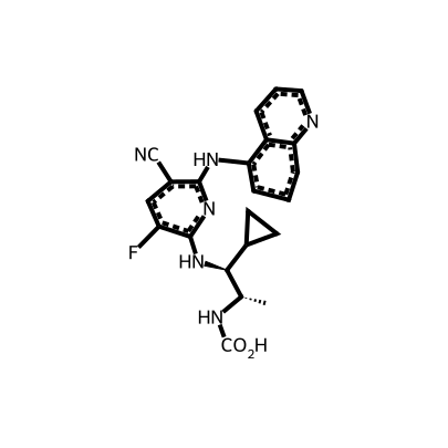 C[C@H](NC(=O)O)[C@@H](Nc1nc(Nc2cccc3ncccc23)c(C#N)cc1F)C1CC1